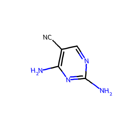 N#Cc1cnc(N)nc1N